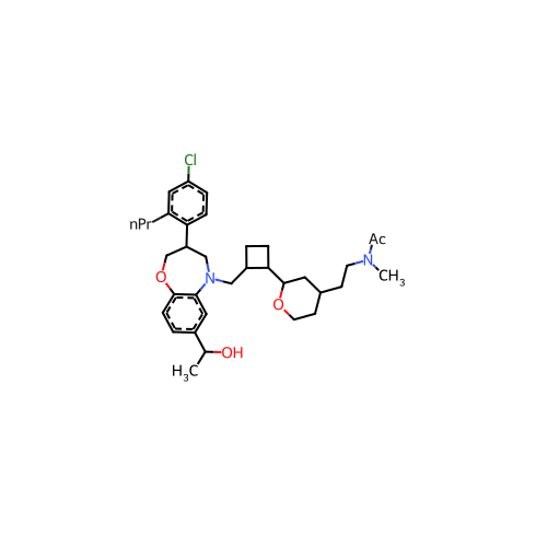 CCCc1cc(Cl)ccc1C1COc2ccc(C(C)O)cc2N(CC2CCC2C2CC(CCN(C)C(C)=O)CCO2)C1